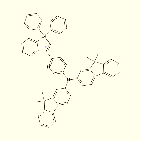 CC1(C)c2ccccc2-c2ccc(N(c3ccc(/C=C/[Si](c4ccccc4)(c4ccccc4)c4ccccc4)nc3)c3ccc4c(c3)C(C)(C)c3ccccc3-4)cc21